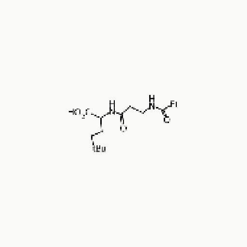 CCC(=O)NCCC(=O)NC(CCC(C)(C)C)C(=O)O